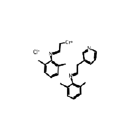 Cc1cccc(C)c1N=CCc1cccnc1.Cc1cccc(C)c1N=C[CH2][Cr+].[Cl-]